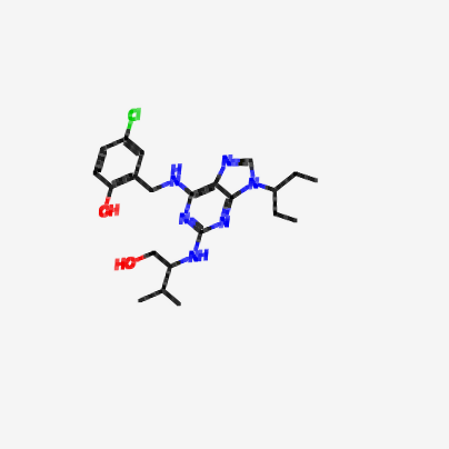 CCC(CC)n1cnc2c(NCc3cc(Cl)ccc3O)nc(NC(CO)C(C)C)nc21